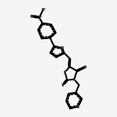 O=C1C(=Cc2ccc(-c3ccc([N+](=O)[O-])cc3)o2)SC(=S)N1Cc1cccnc1